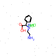 Cl.Cl.NCCNC(C(=O)O)c1ccccc1